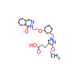 CCOc1nn(Cc2cccc(OCCn3ncc4ccccc4c3=O)c2)cc1CCC(=O)O